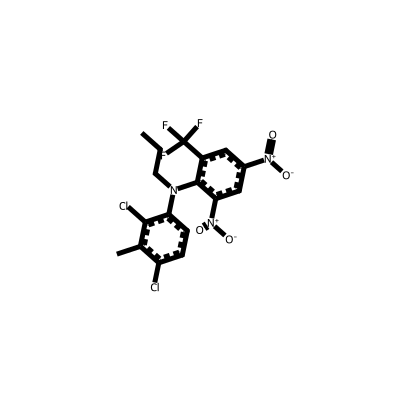 CCCN(c1ccc(Cl)c(C)c1Cl)c1c([N+](=O)[O-])cc([N+](=O)[O-])cc1C(F)(F)F